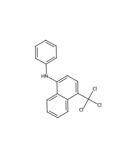 ClC(Cl)(Cl)c1ccc(Nc2ccccc2)c2ccccc12